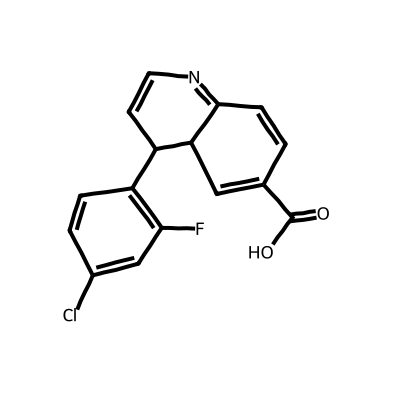 O=C(O)C1=CC2C(=NC=CC2c2ccc(Cl)cc2F)C=C1